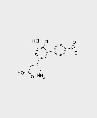 Cl.NC[C@H](CC(=O)O)c1ccc(Cl)c(-c2ccc([N+](=O)[O-])cc2)c1